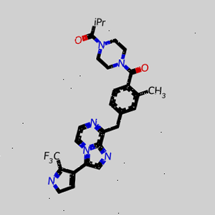 Cc1cc(Cc2nccn3c(C4=CCN=C4C(F)(F)F)cnc23)ccc1C(=O)N1CCN(C(=O)C(C)C)CC1